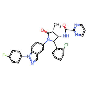 C[C@H]1C(=O)N(c2ccc3c(cnn3-c3ccc(F)cc3)c2)C(c2ccccc2Cl)[C@H]1NC(=O)c1ncccn1